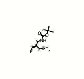 CC(C)(C)OC(=O)NC/C(=C/F)CN